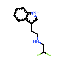 FC(F)CNCCc1c[nH]c2ccccc12